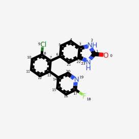 O=c1[nH]c2ccc(-c3c(Cl)cccc3-c3ccc(F)nc3)cc2[nH]1